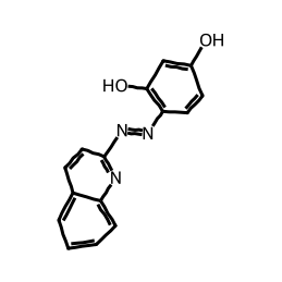 Oc1ccc(N=Nc2ccc3ccccc3n2)c(O)c1